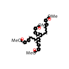 COC(=O)C[C@H]1CCC([C@H]2CC[C@H]([C@H](C)CCC[C@H](C)CC[C@@H](CC[C@H](CC[C@@H](C)CCC[C@@H](C)[C@H]3CC[C@H](C4CC[C@H](CC(=O)OC)C4)C3)CC(C)C[C@@H](C)[C@H]3CC[C@H](C4CC[C@H](CC(=O)OC)C4)C3)CC(C)C[C@@H](C)[C@H]3CC[C@H](C4CC[C@H](CC(=O)OC)C4)C3)C2)C1